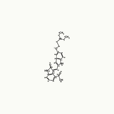 CCN(CC)CCOc1ccc2[nH]c(C=C3C(=O)Nc4cccc(C(=O)O)c43)cc2c1